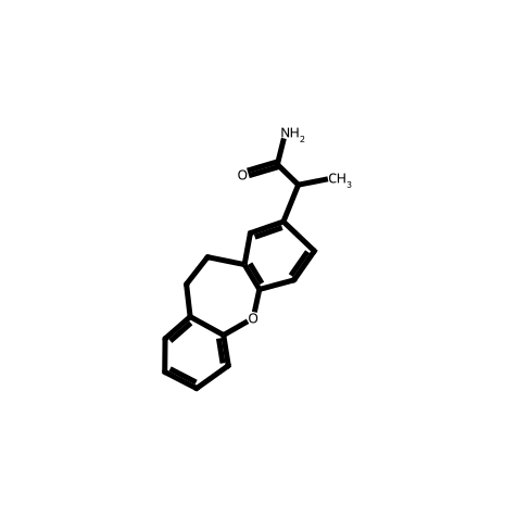 CC(C(N)=O)c1ccc2c(c1)CCc1ccccc1O2